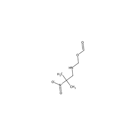 CC(C)(CNCOC=O)[N+](=O)[O-]